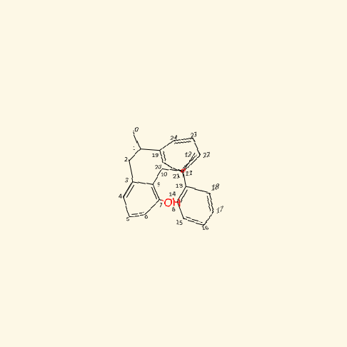 CC(Cc1cccc(O)c1CC(C)c1ccccc1)c1ccccc1